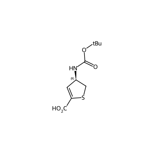 CC(C)(C)OC(=O)N[C@@H]1C=C(C(=O)O)SC1